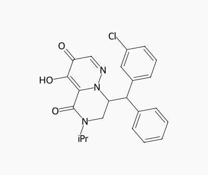 CC(C)N1CC(C(c2ccccc2)c2cccc(Cl)c2)n2ncc(=O)c(O)c2C1=O